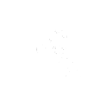 CC(=O)OCc1nc2nc[nH]c2c2nc(-c3ccc(-c4ccccc4)cc3)nn12